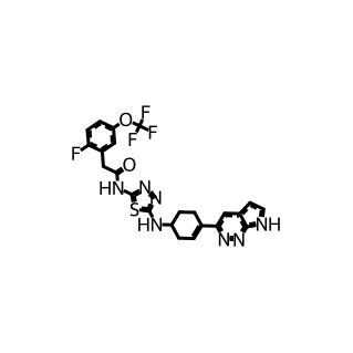 O=C(Cc1cc(OC(F)(F)F)ccc1F)Nc1nnc(NC2CC=C(c3cc4cc[nH]c4nn3)CC2)s1